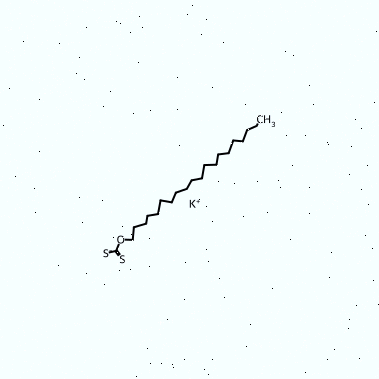 CCCCCCCCCCCCCCCCCCCCOC(=S)[S-].[K+]